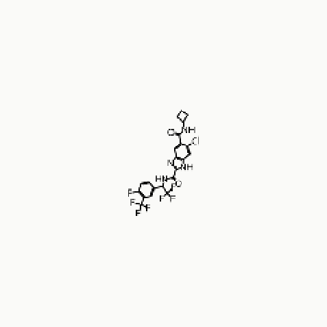 O=C(NC(c1ccc(F)c(C(F)(F)F)c1)C(F)(F)F)c1nc2cc(C(=O)NC3CCC3)c(Cl)cc2[nH]1